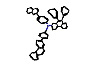 c1ccc(-c2c(-c3ccccc3)c3cc(N(c4ccc(-c5ccc6ccccc6c5)cc4)c4ccc(-c5ccc6c(ccc7ccccc76)c5)cc4)ccc3c3ccccc23)cc1